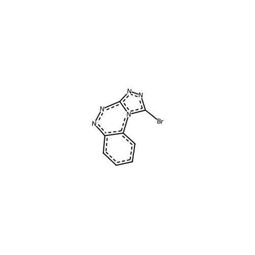 Brc1nnc2nnc3ccccc3n12